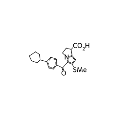 CSc1cc2n(c1C(=O)c1ccc(C3CCCCC3)cc1)CCC2C(=O)O